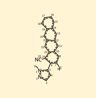 Cn1nccc1-c1c(F)cc2cc3cc4ccccc4cc3cc2c1C#N